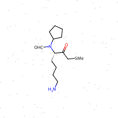 CSCC(=O)[C@H](CCCCN)N(C=O)C1CCCC1